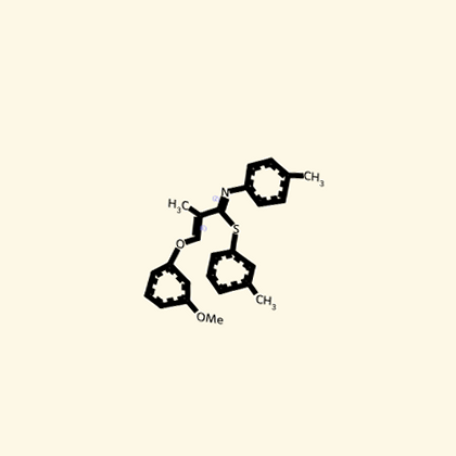 COc1cccc(O/C=C(C)/C(=N/c2ccc(C)cc2)Sc2cccc(C)c2)c1